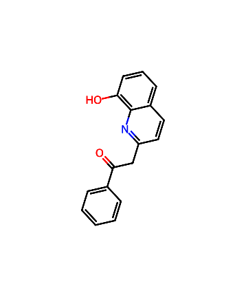 O=C(Cc1ccc2cccc(O)c2n1)c1ccccc1